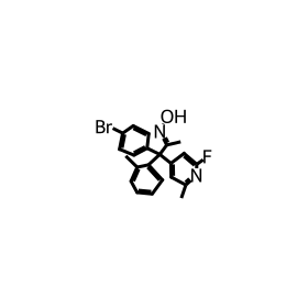 CC(=NO)C(c1ccc(Br)cc1)(c1cc(C)nc(F)c1)c1ccccc1C